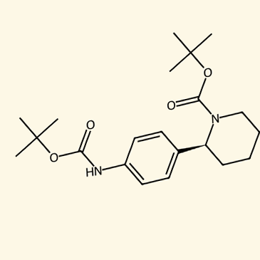 CC(C)(C)OC(=O)Nc1ccc([C@@H]2CCCCN2C(=O)OC(C)(C)C)cc1